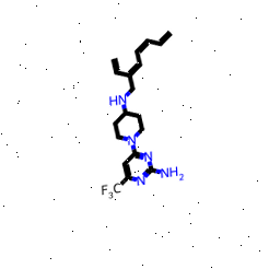 C=C/C=C\C=C(/C=C)CNC1CCN(c2cc(C(F)(F)F)nc(N)n2)CC1